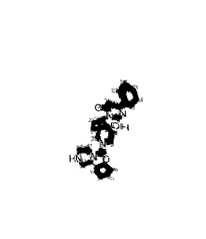 O=C(N1CCC(O)(Cn2cnc(-c3ccccc3)cc2=O)C2(CCC2)C1)N1CCNC[C@H]1c1ccccc1